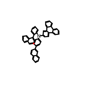 c1ccc(N(c2ccc(-c3ccc4ccccc4c3)cc2)c2ccc3c4ccccc4c4ccccc4c3c2)c(-c2cccc3ccccc23)c1